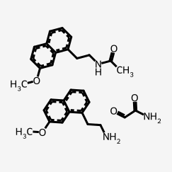 COc1ccc2cccc(CCN)c2c1.COc1ccc2cccc(CCNC(C)=O)c2c1.NC(=O)C=O